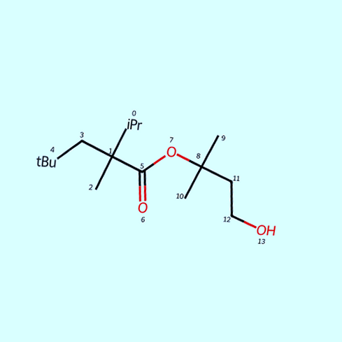 CC(C)C(C)(CC(C)(C)C)C(=O)OC(C)(C)CCO